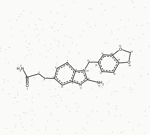 NC(=O)CCc1ccc2c(c1)nc(N)n2Cc1ccc2c(c1)OCO2